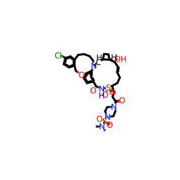 CN(C)S(=O)(=O)N1CCN(C(=O)CCC2CC/C=C/[C@H](O)[C@@H]3CC[C@H]3CN3CCCCc4cc(Cl)ccc4COc4ccc(cc43)C(=O)NS2(=O)=O)CC1